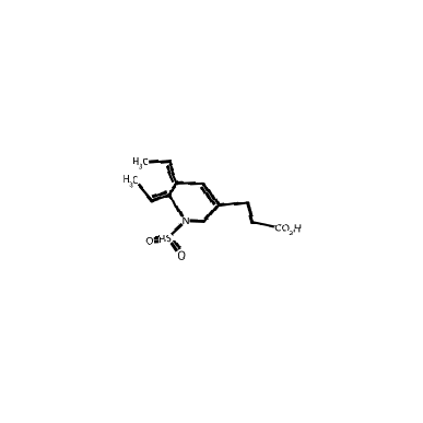 C/C=C1/C=C(CCC(=O)O)CN([SH](=O)=O)/C1=C/C